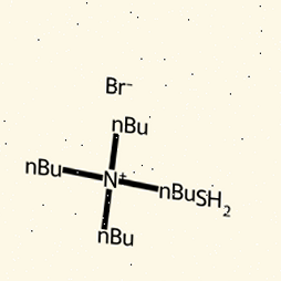 CCCC[N+](CCCC)(CCCC)CCCC.S.[Br-]